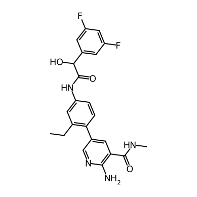 CCc1cc(NC(=O)C(O)c2cc(F)cc(F)c2)ccc1-c1cnc(N)c(C(=O)NC)c1